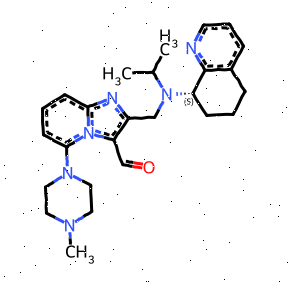 CC(C)N(Cc1nc2cccc(N3CCN(C)CC3)n2c1C=O)[C@H]1CCCc2cccnc21